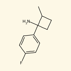 CC1CCC1(N)c1ccc(F)cc1